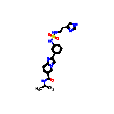 CC(C)NC(=O)c1ccc2nc(-c3cccc(NS(=O)(=O)NCCc4c[nH]cn4)c3)cn2c1